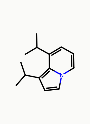 CC(C)c1cccn2ccc(C(C)C)c12